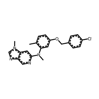 Cc1ccc(OCc2ccc(Cl)cc2)cc1N(C)c1cc2c(cn1)ncn2C